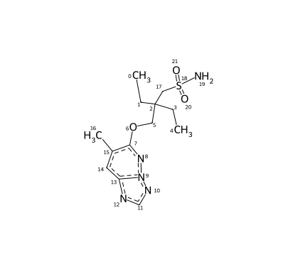 CCC(CC)(COc1nn2ncnc2cc1C)CS(N)(=O)=O